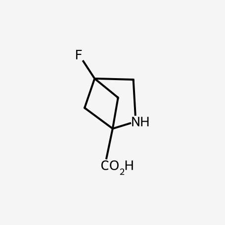 O=C(O)C12CC(F)(CN1)C2